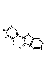 O=C1c2cnccc2CN1c1ccccc1F